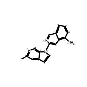 Cc1cc2ccn(-c3cc4c(N)cccc4cn3)c2cn1